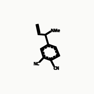 C=CC(NC)c1ccc(C#N)c(C#N)c1